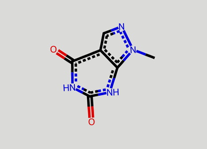 Cn1ncc2c(=O)[nH]c(=O)[nH]c21